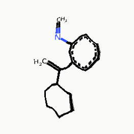 C=Nc1ccccc1C(=C)C1CCCCC1